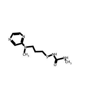 CNC(=O)NSCCCN(C)c1cnccn1